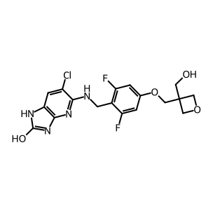 OCC1(COc2cc(F)c(CNc3nc4nc(O)[nH]c4cc3Cl)c(F)c2)COC1